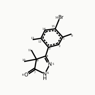 Cc1cc(C2=NNC(=O)C2(C)C)c(C)cc1Br